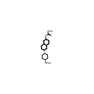 CCCCCCC(=O)Oc1ccc2cc([C@H]3CC[C@H](CCCCC)CC3)ccc2c1